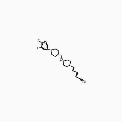 N#CC=CC=C[C@H]1CC[C@H](OC[C@H]2CC[C@H](c3ccc(F)c(F)c3)CC2)CC1